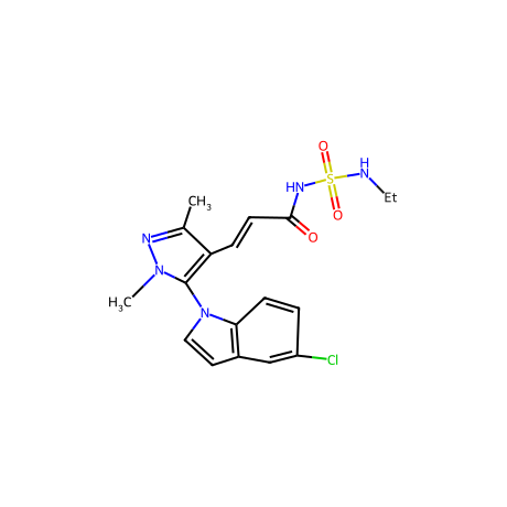 CCNS(=O)(=O)NC(=O)C=Cc1c(C)nn(C)c1-n1ccc2cc(Cl)ccc21